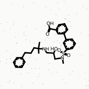 CN(CC(O)CNC(C)(C)CCCc1ccccc1)S(=O)(=O)c1cccc(-c2cccc(C(=O)O)c2)c1